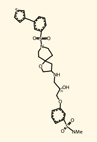 CNS(=O)(=O)c1cccc(OC[C@@H](O)CNC2COC3(CCN(S(=O)(=O)c4cccc(-c5ccsc5)c4)CC3)C2)c1